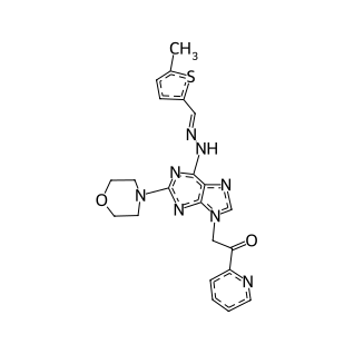 Cc1ccc(C=NNc2nc(N3CCOCC3)nc3c2ncn3CC(=O)c2ccccn2)s1